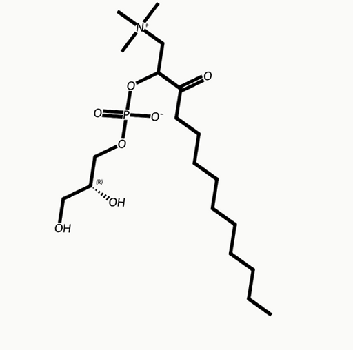 CCCCCCCCCCC(=O)C(C[N+](C)(C)C)OP(=O)([O-])OC[C@H](O)CO